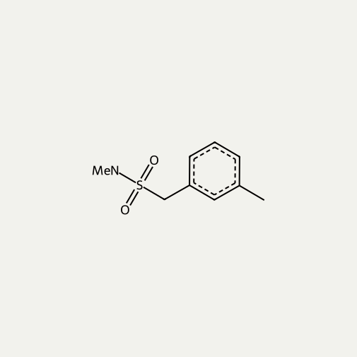 CNS(=O)(=O)Cc1cccc(C)c1